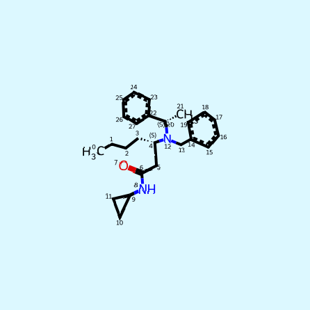 CCCC[C@@H](CC(=O)NC1CC1)N(Cc1ccccc1)[C@@H](C)c1ccccc1